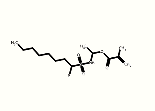 C=C(C)C(=O)OC(C)NS(=O)(=O)C(F)CCCCCCC